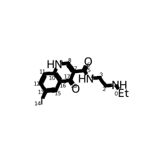 CCNCCNC(=O)c1c[nH]c2ccc(I)cc2c1=O